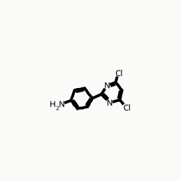 Nc1ccc(-c2nc(Cl)cc(Cl)n2)cc1